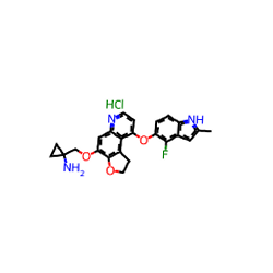 Cc1cc2c(F)c(Oc3ccnc4cc(OCC5(N)CC5)c5c(c34)CCO5)ccc2[nH]1.Cl